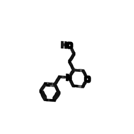 OCCC1COCCN1Cc1ccccc1